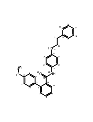 CC(C)Sc1ccc(-c2ccccc2C(=O)Nc2ccc(NCCc3ccccn3)cc2)cc1